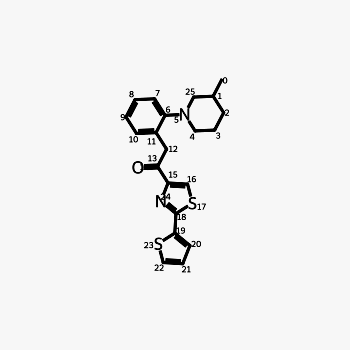 CC1CCCN(c2ccccc2CC(=O)c2csc(-c3cccs3)n2)C1